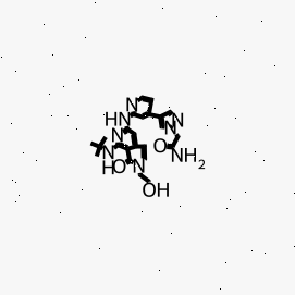 CC(C)(C)Nc1nc(Nc2cc(-c3cnn(CC(N)=O)c3)ccn2)cc2ccn(CCO)c(=O)c12